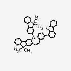 CC1(C)c2ccccc2-c2ccc(N3c4ccc(-c5cccc6c5oc5ccccc56)cc4C=Cc4cc5c(cc43)-c3ccccc3C5(C)C)cc21